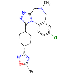 CC(C)c1nc([C@H]2CC[C@H](c3nnc4n3-c3ccc(Cl)cc3CN(C)C4)CC2)no1